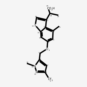 Cc1cc(OCc2cc(C(F)(F)F)nn2C)cc2scc(C(C)C(=O)O)c12